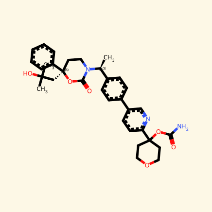 C[C@@H](c1ccc(-c2ccc(C3(OC(N)=O)CCOCC3)nc2)cc1)N1CC[C@](CC(C)(C)O)(c2ccccc2)OC1=O